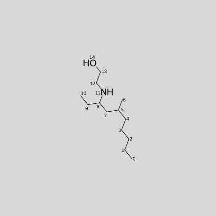 CCCCCC(C)CC(CC)NCCO